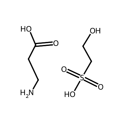 NCCC(=O)O.O=S(=O)(O)CCO